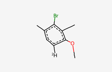 [2H]c1cc(C)c(Br)c(C)c1OC